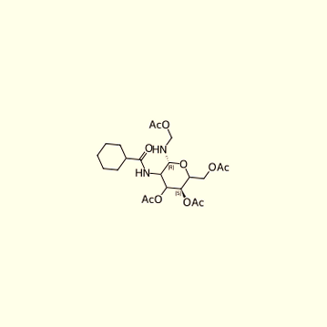 CC(=O)OCN[C@@H]1OC(COC(C)=O)[C@@H](OC(C)=O)C(OC(C)=O)C1NC(=O)C1CCCCC1